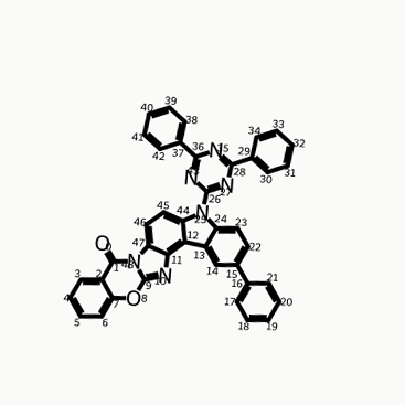 O=c1c2ccccc2oc2nc3c4c5cc(-c6ccccc6)ccc5n(-c5nc(-c6ccccc6)nc(-c6ccccc6)n5)c4ccc3n12